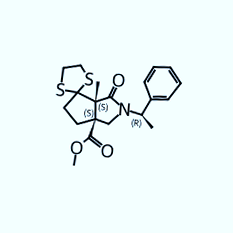 COC(=O)[C@@]12CCC3(SCCS3)[C@]1(C)C(=O)N([C@H](C)c1ccccc1)C2